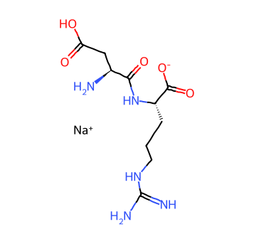 N=C(N)NCCC[C@H](NC(=O)[C@@H](N)CC(=O)O)C(=O)[O-].[Na+]